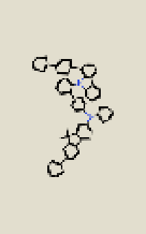 CC1(C)c2cc(-c3ccccc3)ccc2-c2ccc(N(c3ccccc3)c3ccc(-c4ccccc4-n4c5ccccc5c5cccc(-c6ccc(-c7ccccc7)cc6)c54)cc3)cc21